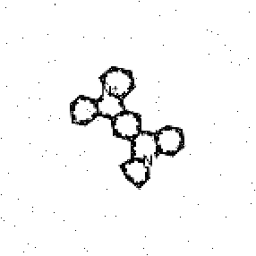 c1ccc2c(c1)c1cc3c(cc1c1cccc[n+]21)c1ccccc1[n+]1ccccc31